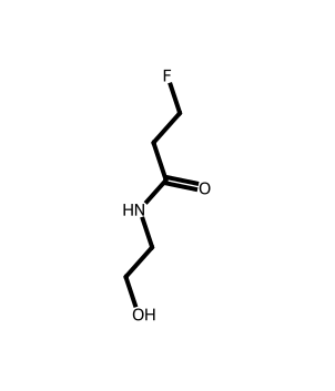 O=C(CCF)NCCO